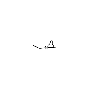 CCN1[CH]O1